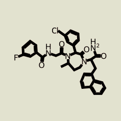 CC1CCN(C(Cc2cccc3ccccc23)C(N)=O)C(=O)C(c2cccc(Cl)c2)N1C(=O)CNC(=O)c1cccc(F)c1